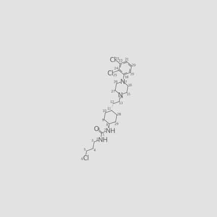 O=C(NCCCCl)N[C@H]1CC[C@H](CCN2CCN(c3cccc(Cl)c3Cl)CC2)CC1